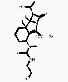 CC(O)[C@H]1C(=O)N2C(C(=O)[O-])=C3[C@H](CCC[C@@H]3N(C)C(=O)NCCO)[C@H]12.[Na+]